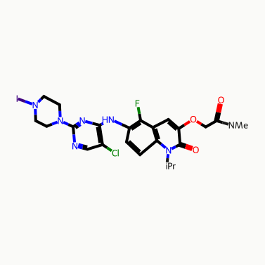 CNC(=O)COc1cc2c(F)c(Nc3nc(N4CCN(I)CC4)ncc3Cl)ccc2n(C(C)C)c1=O